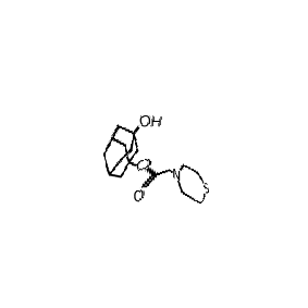 O=C(OC12CC3CC(CC(O)(C3)C1)C2)N1CCSCC1